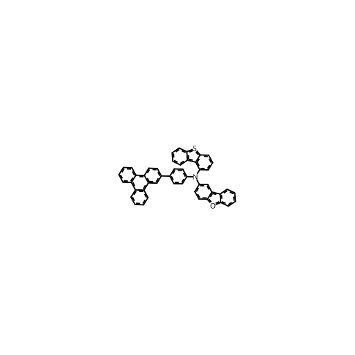 c1ccc2c(c1)oc1ccc(N(c3ccc(-c4ccc5c6ccccc6c6ccccc6c5c4)cc3)c3cccc4sc5ccccc5c34)cc12